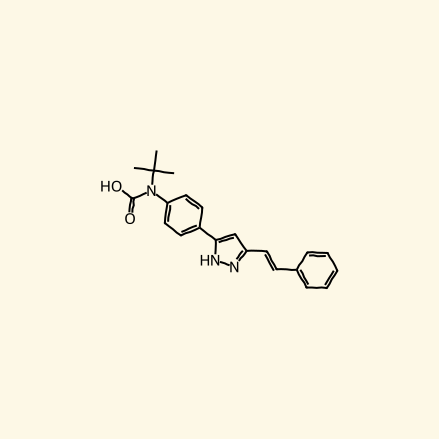 CC(C)(C)N(C(=O)O)c1ccc(-c2cc(C=Cc3ccccc3)n[nH]2)cc1